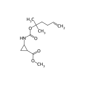 C=CCCC(C)(C)OC(=O)NC1CC1C(=O)OC